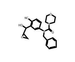 N#Cc1ccc(N(Cc2ccccc2)C(=O)N2CCOCC2)cc1C(O)C1CO1